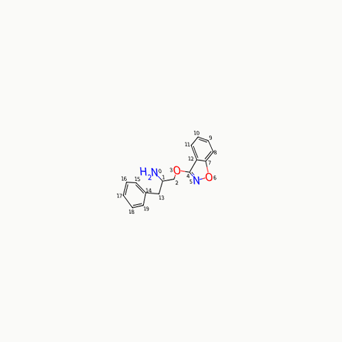 NC(COc1noc2ccccc12)Cc1ccccc1